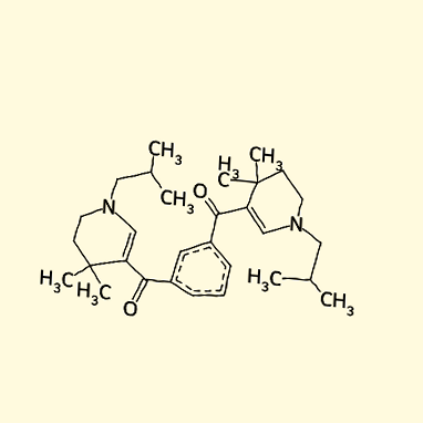 CC(C)CN1C=C(C(=O)c2cccc(C(=O)C3=CN(CC(C)C)CCC3(C)C)c2)C(C)(C)CC1